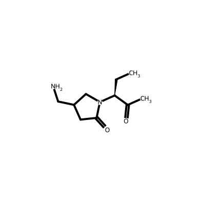 CC[C@@H](C(C)=O)N1CC(CN)CC1=O